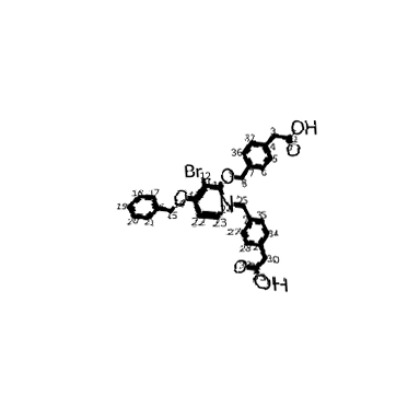 O=C(O)Cc1ccc(COC2C(Br)=C(OCc3ccccc3)C=CN2Cc2ccc(CC(=O)O)cc2)cc1